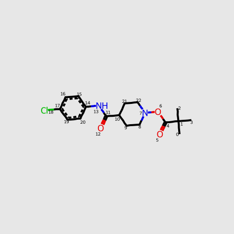 CC(C)(C)C(=O)ON1CCC(C(=O)Nc2ccc(Cl)cc2)CC1